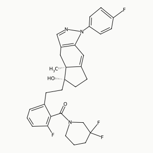 C[C@]12Cc3cnn(-c4ccc(F)cc4)c3C=C1CC[C@@]2(O)CCc1cccc(F)c1C(=O)N1CCCC(F)(F)C1